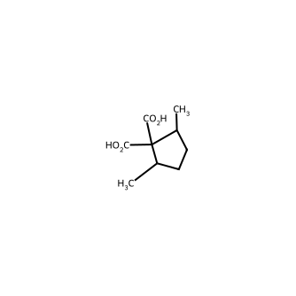 CC1CCC(C)C1(C(=O)O)C(=O)O